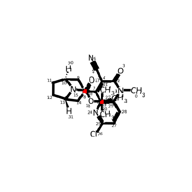 Cn1c(=O)c(C#N)c(N2C[C@@H]3CC[C@@H](C2)N3C(=O)OC(C)(C)C)c2nc(Cl)ccc21